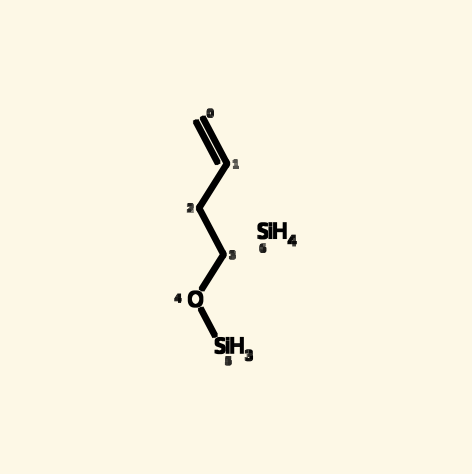 C=CCCO[SiH3].[SiH4]